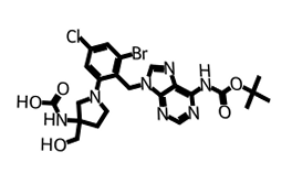 CC(C)(C)OC(=O)Nc1ncnc2c1ncn2Cc1c(Br)cc(Cl)cc1N1CCC(CO)(NC(=O)O)C1